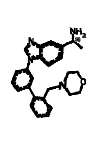 C[C@H](N)c1ccc2c(c1)ncn2-c1cccc(-c2ccccc2CN2CCOCC2)c1